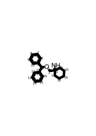 NC1(COC(c2ccccc2)c2ccccc2)CCCCC1